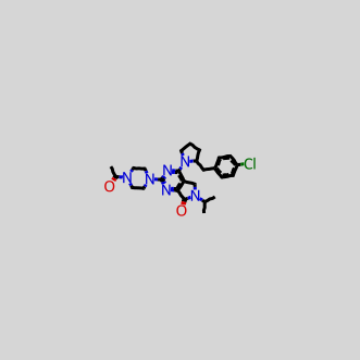 CC(=O)N1CCN(c2nc3c(c(N4CCCC4Cc4ccc(Cl)cc4)n2)CN(C(C)C)C3=O)CC1